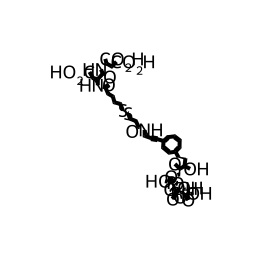 O=C(O)CC(NC(=O)C(CC(=O)O)NC(=O)CCCCSSCCC(=O)NCC#CC1=C/C=C\C=C([C@H]2CC(O)[C@@H](COP(=O)(O)OP(=O)(O)OP(=O)(O)O)O2)/C=C\1)C(=O)O